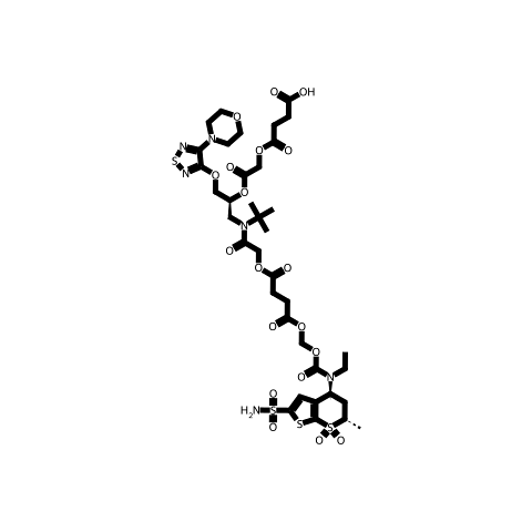 CCN(C(=O)OCOC(=O)CCC(=O)OCC(=O)N(C[C@@H](COc1nsnc1N1CCOCC1)OC(=O)COC(=O)CCC(=O)O)C(C)(C)C)[C@H]1C[C@H](C)S(=O)(=O)c2sc(S(N)(=O)=O)cc21